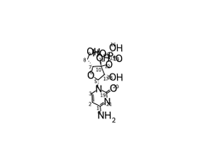 Nc1ccn([C@@H]2O[C@H](CO)[C@](O)(OP(=O)(O)O)[C@@H]2O)c(=O)n1